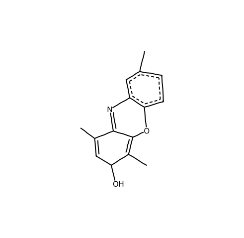 CC1=CC(O)C(C)=C2Oc3ccc(C)cc3N=C12